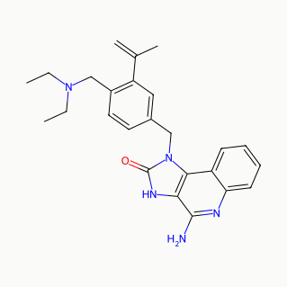 C=C(C)c1cc(Cn2c(=O)[nH]c3c(N)nc4ccccc4c32)ccc1CN(CC)CC